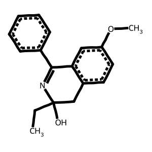 CCC1(O)Cc2ccc(OC)cc2C(c2ccccc2)=N1